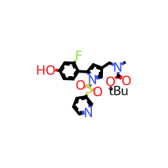 CN(Cc1cc(-c2ccc(O)cc2F)n(S(=O)(=O)c2cccnc2)c1)C(=O)OC(C)(C)C